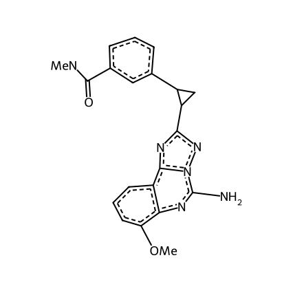 CNC(=O)c1cccc(C2CC2c2nc3c4cccc(OC)c4nc(N)n3n2)c1